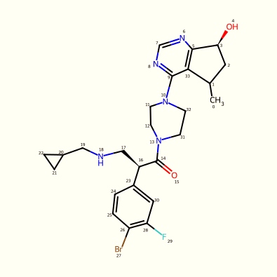 CC1C[C@H](O)c2ncnc(N3CCN(C(=O)[C@H](CNCC4CC4)c4ccc(Br)c(F)c4)CC3)c21